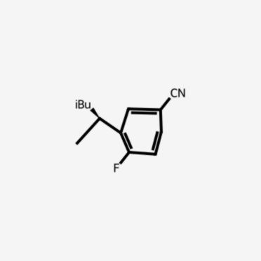 CCC(C)[C@H](C)c1cc(C#N)ccc1F